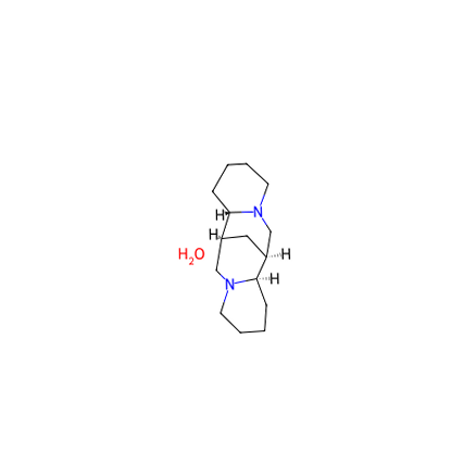 C1CCN2C[C@@H]3C[C@@H](CN4CCCC[C@@H]34)[C@H]2C1.O